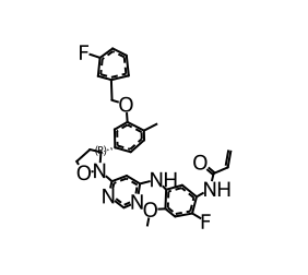 C=CC(=O)Nc1cc(Nc2cc(N3OCC[C@@H]3c3ccc(C)c(OCc4cccc(F)c4)c3)ncn2)c(OC)cc1F